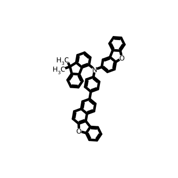 CC1(C)c2ccccc2-c2c(N(c3ccc(-c4ccc5c(ccc6oc7ccccc7c65)c4)cc3)c3ccc4oc5ccccc5c4c3)cccc21